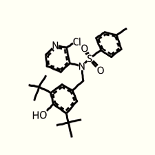 Cc1ccc(S(=O)(=O)N(Cc2cc(C(C)(C)C)c(O)c(C(C)(C)C)c2)c2cccnc2Cl)cc1